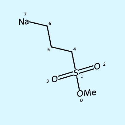 COS(=O)(=O)CC[CH2][Na]